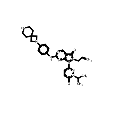 C=CCn1c(=O)c2cnc(Nc3ccc(N4CC5(CCNCC5)C4)cc3)nc2n1-c1ccc(=O)n(C(C)C)n1